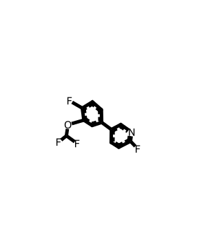 Fc1ccc(-c2ccc(F)c(OC(F)F)c2)cn1